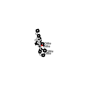 COc1ccc(CCN(Cc2ccc(Oc3ccccc3)cc2)C(=O)OC(=O)C2CCC2C(=O)OC(=O)N(CCc2ccc(OC)c(OC)c2)Cc2ccc(Oc3ccccc3)cc2)cc1OC